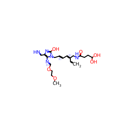 C=C/C(=C\C=C\Cn1c(O)nc(C=N)c1/N=C/OCCOC)CNC(=O)CCC(O)O